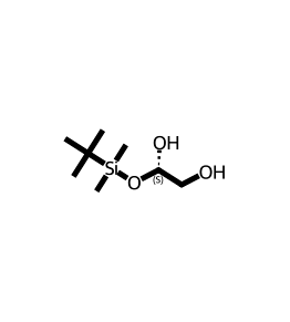 CC(C)(C)[Si](C)(C)O[C@H](O)CO